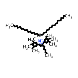 CCCCCCC1=C(c2cc(CC)c(CC)c(CC)c2)[N+](=[N-])C(c2cc(CC)c(CC)c(CC)c2)=C1.CCCCCCCCCCCCCCCC[CH2][Ni][CH2]CCCCCCCCCCCCCCCC